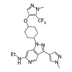 CCNc1cc2c(cn1)c(-c1cnn(C)c1)nn2C1CCC(Oc2cnn(C)c2C(F)(F)F)CC1